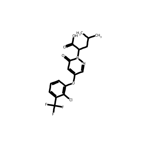 CC(C)CC(C(=O)O)n1ncc(Oc2cccc(C(F)(F)F)c2Cl)cc1=O